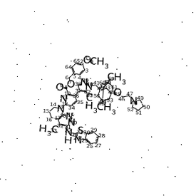 COc1ccc(COC(=O)c2nc(N3CCCc4c3nnc(Nc3nc5ccccc5s3)c4C)ccc2-c2cnn(CC34CC5(OCCN6CCCC6)C[C@](C)(C3)C[C@](C)(C4)C5)c2C)cc1